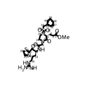 COC(=O)CC[C@@H]1C(=O)N(CC(=O)N[C@@H](CCCNC(=N)N)C(=O)c2nccs2)CCN1S(=O)(=O)Cc1ccccc1